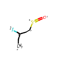 CC(F)C[S+]=O